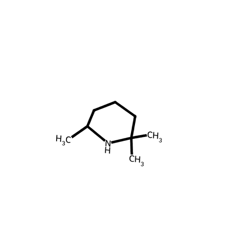 CC1CCCC(C)(C)N1